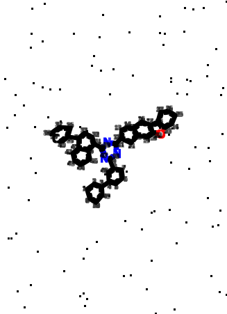 c1ccc(-c2cccc(-c3nc(-c4ccc5cc6c(cc5c4)oc4ccccc46)nc(-c4ccc(-c5ccccc5)c5ccccc45)n3)c2)cc1